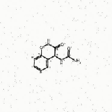 NC(=O)NC1C(=O)NOc2ccccc21